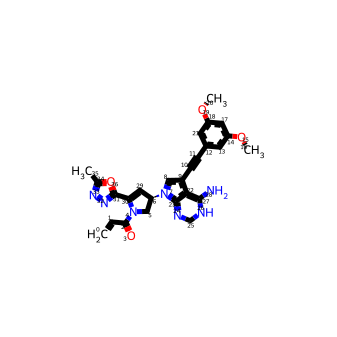 C=CC(=O)N1C[C@@H](n2cc(C#Cc3cc(OC)cc(OC)c3)c3c2=NCNC=3N)C=C1c1nnc(C)o1